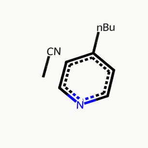 CC#N.CCCCc1ccncc1